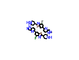 Cn1cc2nc(-c3cc(F)c4nc(C5CCNCC5)sc4c3)ccc2n1.Fc1cc(-c2ccc3[nH]ncc3n2)cc2sc(C3CCNCC3)nc12